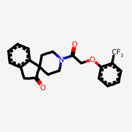 O=C(COc1ccccc1C(F)(F)F)N1CCC2(CC1)C(=O)Cc1ccccc12